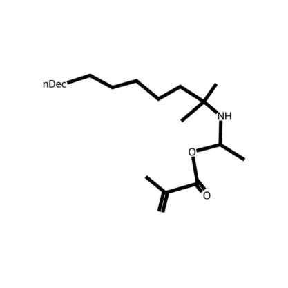 C=C(C)C(=O)OC(C)NC(C)(C)CCCCCCCCCCCCCCC